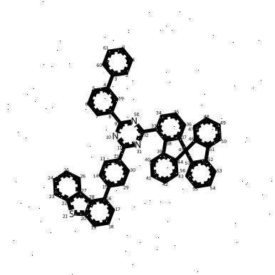 c1ccc(-c2cccc(-c3nc(-c4ccc(-c5cccc6sc7ccccc7c56)cc4)nc(-c4cccc5c4-c4ccccc4C54c5ccccc5-c5ccccc54)n3)c2)cc1